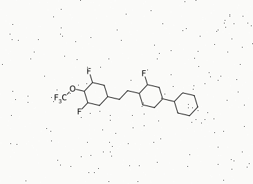 FC1CC(C2CCCCC2)CCC1CCC1CC(F)C(OC(F)(F)F)C(F)C1